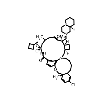 CO[C@@]1(CN2CCN3CCCC[C@@H]3C2)/C=C/C[C@H](C)[C@@H](CC2CCC2)S(=O)(=O)NC(=O)c2ccc3c(c2)N(CCCCC2C=C(Cl)C=CC2(C)CO3)C[C@@H]2CC[C@H]21